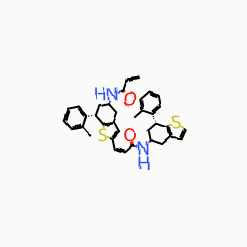 C=CC(=O)N[C@H]1Cc2cc(/C=C\C(=O)N[C@H]3Cc4ccsc4[C@@H](c4ccccc4C)C3)sc2[C@H](c2ccccc2C)C1